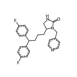 O=C1NCC(CCCC(c2ccc(F)cc2)c2ccc(F)cc2)N1Cc1ccncc1